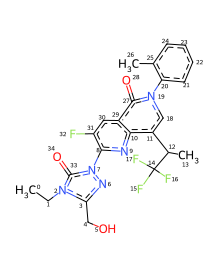 CCn1c(CO)nn(-c2nc3c(C(C)C(F)(F)F)cn(-c4ccccc4C)c(=O)c3cc2F)c1=O